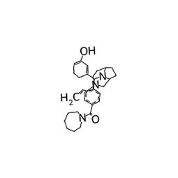 C=CCN1CCC2CCC(C1)N2C(C1=CC(O)=CCC1)c1ccc(C(=O)N2CCCCCC2)cc1